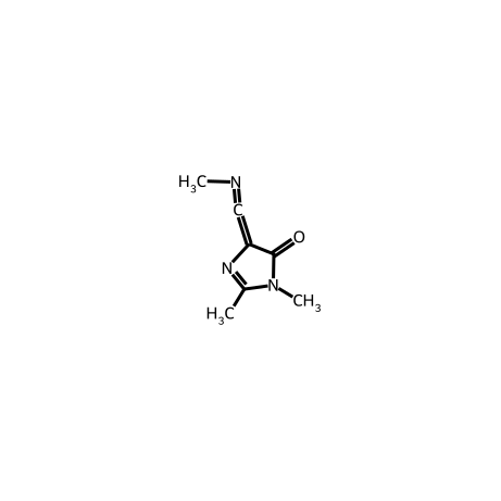 CN=C=C1N=C(C)N(C)C1=O